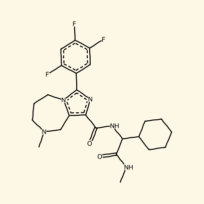 CNC(=O)C(NC(=O)c1nc(-c2cc(F)c(F)cc2F)n2c1CN(C)CCC2)C1CCCCC1